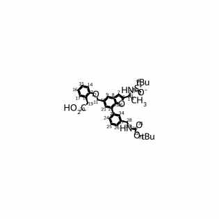 C[C@@H](N[S@+]([O-])C(C)(C)C)c1cc2cc(COc3ccccc3CC(=O)O)cc(-c3cccc(CNC(=O)OC(C)(C)C)c3)c2o1